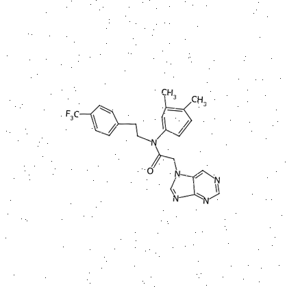 Cc1ccc(N(CCc2ccc(C(F)(F)F)cc2)C(=O)Cn2cnc3ncncc32)cc1C